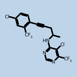 CC(CC#Cc1ccc(Cl)cc1C(F)(F)F)Nc1ncnc(C(F)(F)F)c1Cl